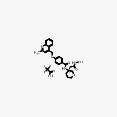 Cc1cc(COc2ccc(C(=O)N[C@@]3(CC(=O)NO)CCCOC3)cc2)c2ccccc2n1.O=C(O)C(F)(F)F